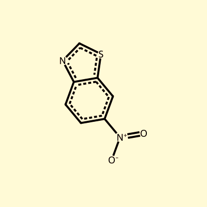 O=[N+]([O-])c1ccc2ncsc2c1